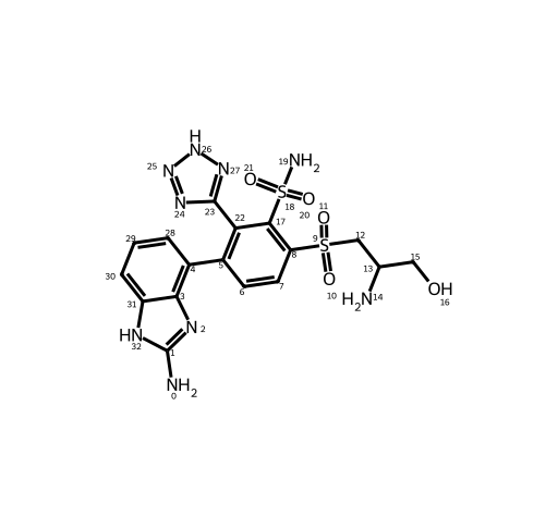 Nc1nc2c(-c3ccc(S(=O)(=O)CC(N)CO)c(S(N)(=O)=O)c3-c3nn[nH]n3)cccc2[nH]1